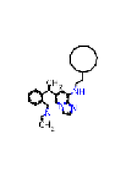 C=C/N=C\c1ccccc1C(=C)c1cc(NCCC2CCCCCCCCCC2)c2nccn2c1